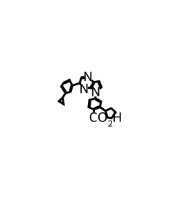 O=C(O)c1ccc(-n2ccc3ncc(-c4cccc(C5CC5)c4)nc32)cc1C1CCCC1